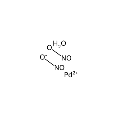 O.O=N[O-].O=N[O-].[Pd+2]